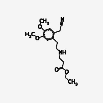 CCOC(=O)CCNCCc1cc(OC)c(OC)cc1CC#N